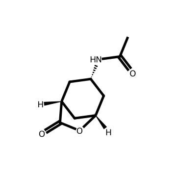 CC(=O)N[C@@H]1C[C@H]2C[C@@H](C1)C(=O)O2